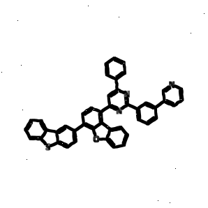 c1ccc(-c2cc(-c3ccc(-c4ccc5sc6ccccc6c5c4)c4oc5ccccc5c34)nc(-c3cccc(-c4cccnc4)c3)n2)cc1